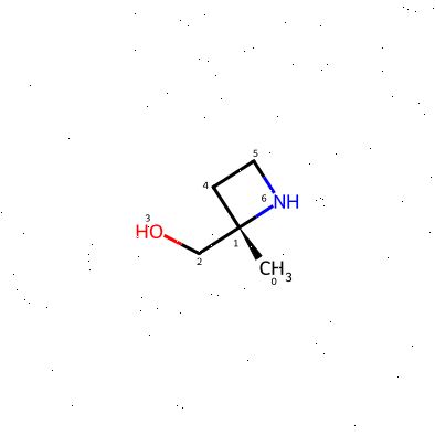 C[C@@]1(CO)CCN1